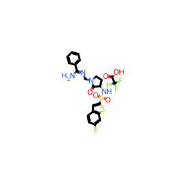 NC(=NCN1CC[C@H](NS(=O)(=O)c2cc3ccc(F)cc3s2)C1=O)c1ccccc1.O=C(O)C(F)(F)F